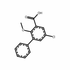 COc1c(C(=O)O)cc(Cl)cc1-c1ccccc1